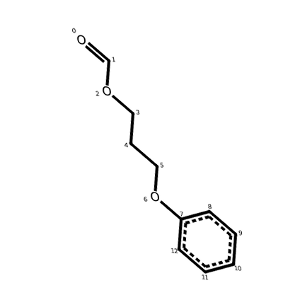 O=COCCCOc1ccccc1